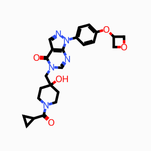 O=C(C1CC1)N1CCC(O)(Cn2cnc3c(cnn3-c3ccc(OC4COC4)cc3)c2=O)CC1